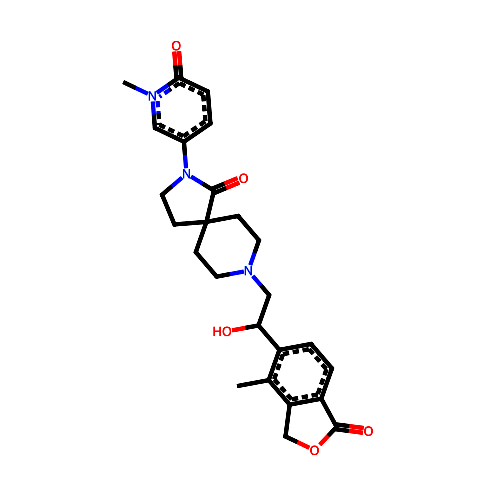 Cc1c(C(O)CN2CCC3(CC2)CCN(c2ccc(=O)n(C)c2)C3=O)ccc2c1COC2=O